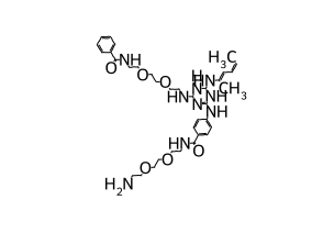 C/C=C\C=C(/C)NC1NC(Nc2ccc(C(=O)NCCOCCOCCN)cc2)=NC(NCCOCCOCCNC(=O)c2ccccc2)N1